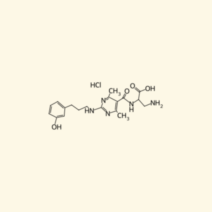 Cc1nc(NCCCc2cccc(O)c2)nc(C)c1C(=O)NC(CN)C(=O)O.Cl